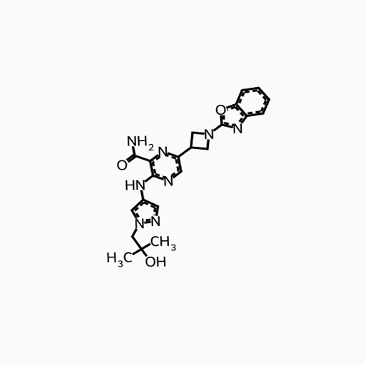 CC(C)(O)Cn1cc(Nc2ncc(C3CN(c4nc5ccccc5o4)C3)nc2C(N)=O)cn1